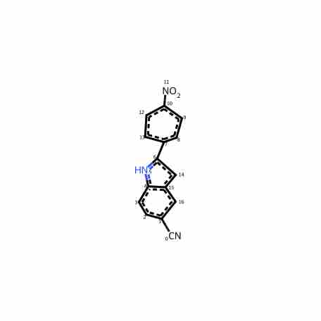 N#Cc1ccc2[nH]c(-c3ccc([N+](=O)[O-])cc3)cc2c1